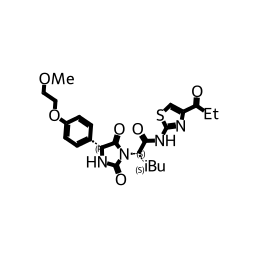 CCC(=O)c1csc(NC(=O)[C@H]([C@@H](C)CC)N2C(=O)N[C@H](c3ccc(OCCOC)cc3)C2=O)n1